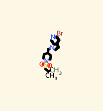 CC(C)CS(=O)(=O)N1CCC(Cn2ccc3cc(Br)ncc32)CC1